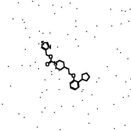 O=C(OCc1cscn1)N1CCC(CCOc2ccccc2C2CCCC2)CC1